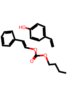 C=Cc1ccc(O)cc1.CCCCOC(=O)OC=Cc1ccccc1